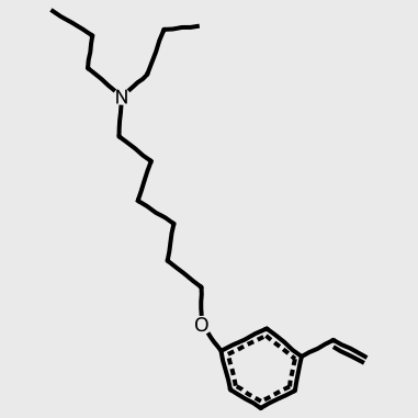 C=Cc1cccc(OCCCCCCN(CCC)CCC)c1